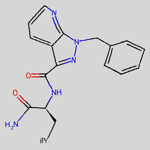 CC(C)C[C@H](NC(=O)c1nn(Cc2ccccc2)c2ncccc12)C(N)=O